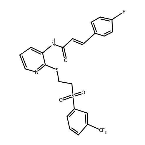 O=C(C=Cc1ccc(F)cc1)Nc1cccnc1SCCS(=O)(=O)c1cccc(C(F)(F)F)c1